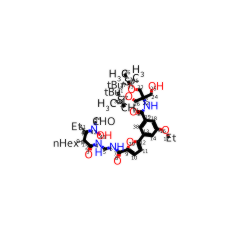 CCCCCC[C@@H](C(=O)NCNC(=O)c1ccc(-c2cc(OCC)cc(C(=O)NC(CO)(CO[Si](C)(C)C(C)(C)C)CO[Si](C)(C)C(C)(C)C)c2)o1)[C@@H](CC)N(O)C=O